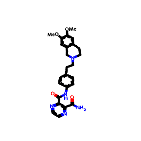 COc1cc2c(cc1OC)CN(CCc1ccc(NC(=O)c3nccnc3C(N)=O)cc1)CC2